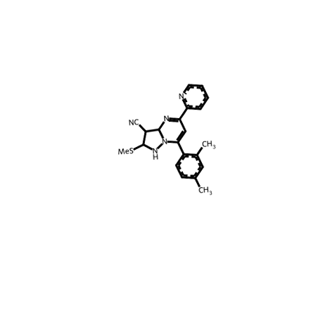 CSC1NN2C(c3ccc(C)cc3C)=CC(c3ccccn3)=NC2C1C#N